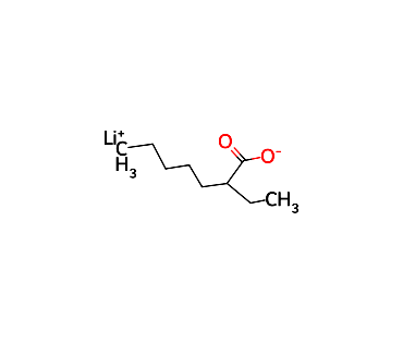 CCCCCC(CC)C(=O)[O-].[Li+]